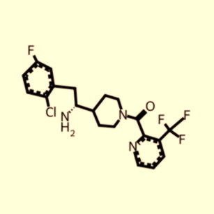 N[C@H](Cc1cc(F)ccc1Cl)C1CCN(C(=O)c2ncccc2C(F)(F)F)CC1